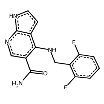 NC(=O)c1cnc2[nH]ccc2c1NCc1c(F)cccc1F